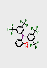 Oc1ccccc1P(c1cc(C(F)(F)F)cc(C(F)(F)F)c1)c1cc(C(F)(F)F)cc(C(F)(F)F)c1